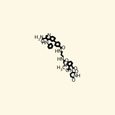 CN(CC(=O)NCCCNC(=O)c1ccc(-c2ccc3ncc(C(N)=O)c(Nc4ccccc4)c3c2)cc1)c1cccc2c1C(=O)N(C1CCC(=O)NC1=O)C2=O